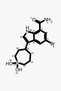 NC(=O)c1cc(Br)cc2c(C3CCCS(O)(O)CC3)c[nH]c12